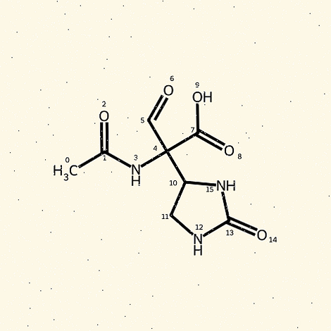 CC(=O)NC(C=O)(C(=O)O)C1CNC(=O)N1